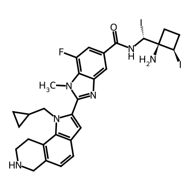 Cn1c(-c2cc3ccc4c(c3n2CC2CC2)CCNC4)nc2cc(C(=O)N[C@H](I)[C@]3(N)CC[C@H]3I)cc(F)c21